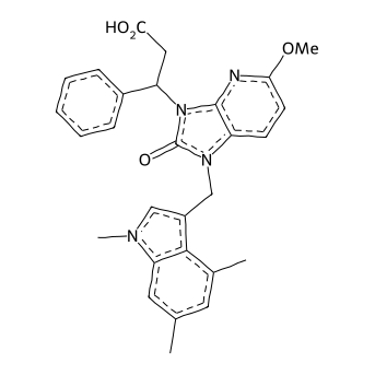 COc1ccc2c(n1)n(C(CC(=O)O)c1ccccc1)c(=O)n2Cc1cn(C)c2cc(C)cc(C)c12